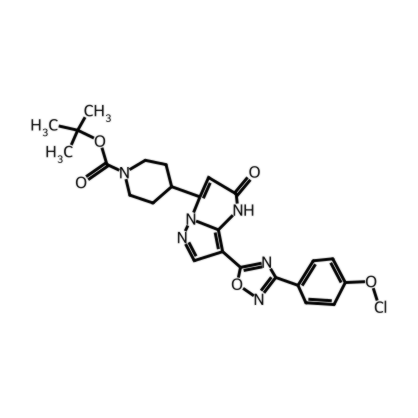 CC(C)(C)OC(=O)N1CCC(c2cc(=O)[nH]c3c(-c4nc(-c5ccc(OCl)cc5)no4)cnn23)CC1